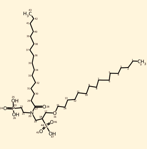 CCCCCCCCCCCCCCCCOCC(CN(CCP(=O)(O)O)C(=O)CCCCCCCCCCCCCCC)S(=O)(=O)O